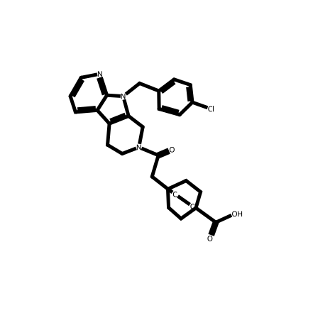 O=C(CC12CCC(C(=O)O)(CC1)CC2)N1CCc2c(n(Cc3ccc(Cl)cc3)c3ncccc23)C1